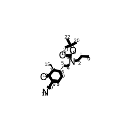 CCCN(CC[C@@H]1CC=C(C#N)C(=O)[C@H]1C)C(=O)OC(C)(C)C